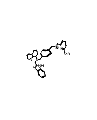 Oc1cccc(CNCc2ccc(CN(Cc3nc4ccccc4[nH]3)C3CCCc4cccnc43)cc2)n1